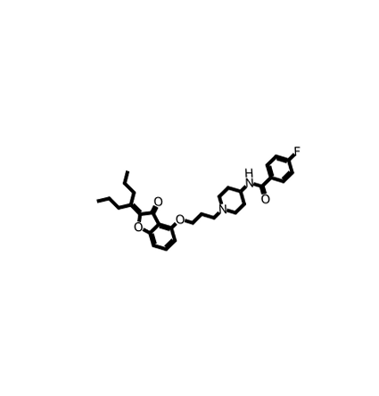 CCCC(CCC)=C1Oc2cccc(OCCCN3CCC(NC(=O)c4ccc(F)cc4)CC3)c2C1=O